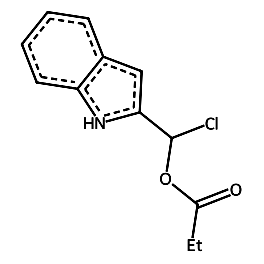 CCC(=O)OC(Cl)c1cc2ccccc2[nH]1